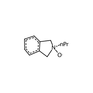 CCC[N+]1([O])Cc2ccccc2C1